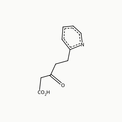 O=C(O)CC(=O)CCc1ccccn1